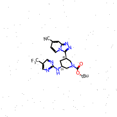 CC(C)(C)OC(=O)N1C[C@@H](Nc2ncc(C(F)(F)F)cn2)C[C@@H](c2nnc3cc(C#N)ccn23)C1